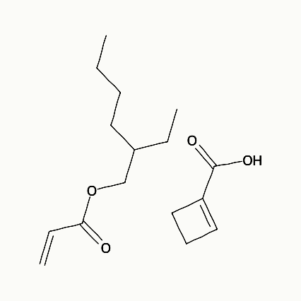 C=CC(=O)OCC(CC)CCCC.O=C(O)C1=CCC1